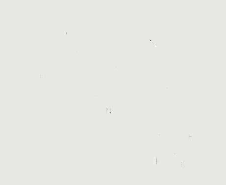 COc1cc2nc3cc(C(F)(F)F)ccc3c(C#N)c2cc1OC